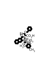 CC[C@@H](OCc1ccccc1)[C@@H](C(=O)O)N(C)C(=O)c1cc2ccccc2cc1NC(=O)Nc1c(C)cc(C)cc1C